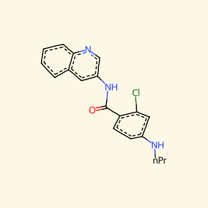 CCCNc1ccc(C(=O)Nc2cnc3ccccc3c2)c(Cl)c1